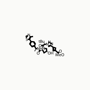 COC(=O)C12CC(c3cn([C@H](C(=O)N4C[C@H](O)C[C@H]4C(=O)N[C@@H](C)c4ccc(-c5scnc5C)cc4)C(C)(C)C)nn3)(C1)C2